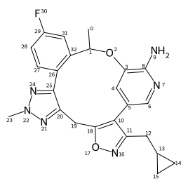 CC1Oc2cc(cnc2N)-c2c(CC3CC3)noc2Cc2nn(C)nc2-c2ccc(F)cc21